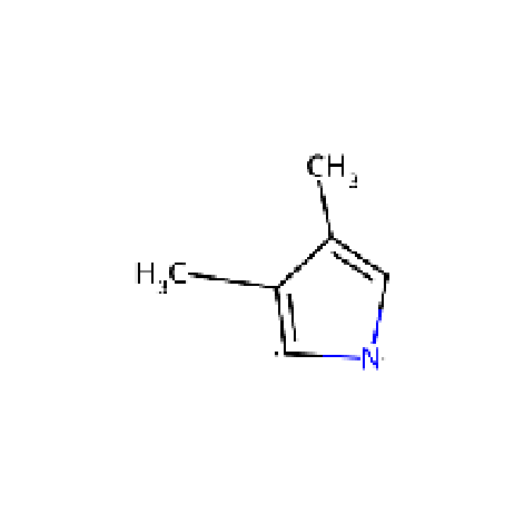 CC1=[C][N]C=C1C